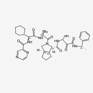 CCCC(NC(=O)[C@@H]1[C@H]2CCC[C@H]2CN1C(=O)[C@@H](NC(=O)[C@@H](NC(=O)c1cnccn1)C1CCCCC1)C(C)(C)C)C(=O)C(=O)N[C@@H](C)c1ccccc1